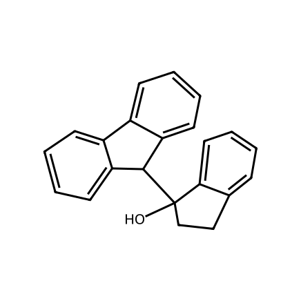 OC1(C2c3ccccc3-c3ccccc32)CCc2ccccc21